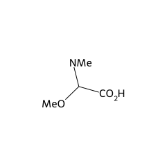 CNC(OC)C(=O)O